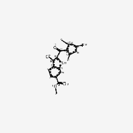 COC(=O)c1ccc2c(Cl)c(C(=O)c3c(C)cc(F)cc3C)sc2c1